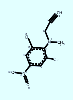 C#CCN(C)c1c(Cl)cc([N+](=O)[O-])cc1Cl